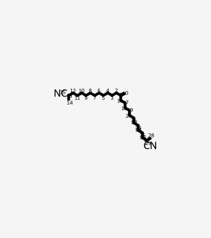 C=C(CCCCCCCCCCCC(C)C#N)CCCCCCCCCCCC(C)C#N